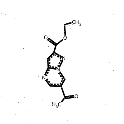 CCOC(=O)c1cc2ncc(C(C)=O)cn2n1